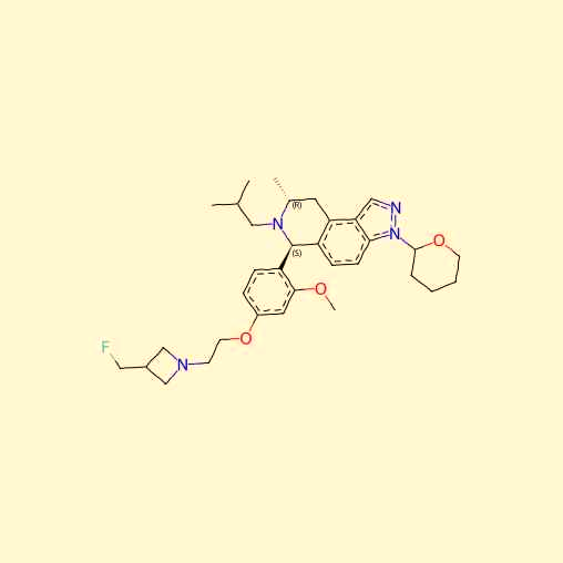 COc1cc(OCCN2CC(CF)C2)ccc1[C@@H]1c2ccc3c(cnn3C3CCCCO3)c2C[C@@H](C)N1CC(C)C